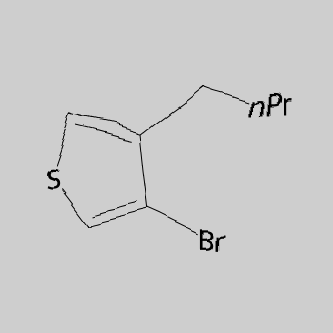 CCCCc1cscc1Br